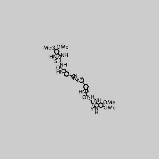 COc1cc2[nH]c(=S)n(CCCNC(=O)c3cc4ccc(-c5ccc[n+](Cn6cc(-c7ccc8[nH]c(C(=O)NCCn9c(=S)[nH]c%10cc(OC)c(OC)cc%10c9=N)cc8c7)cn6)c5)cc4[nH]3)c(=N)c2cc1OC